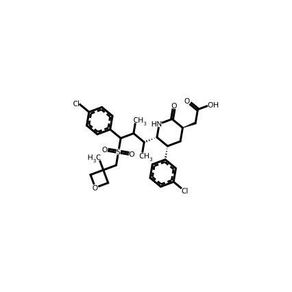 CC(C(C)[C@@H]1NC(=O)[C@@H](CC(=O)O)C[C@@H]1c1cccc(Cl)c1)C(c1ccc(Cl)cc1)S(=O)(=O)CC1(C)COC1